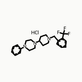 Cl.FC(F)(F)c1ccccc1CN1CCC(N2CCN(c3ccccc3)CC2)CC1